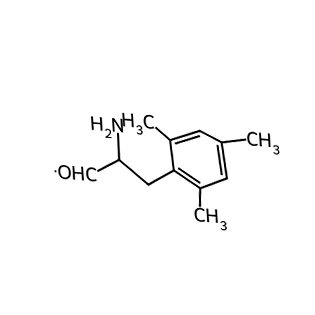 Cc1cc(C)c(CC(N)[C]=O)c(C)c1